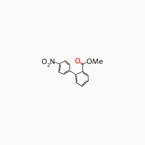 COC(=O)c1ccccc1-c1ccc([N+](=O)[O-])cc1